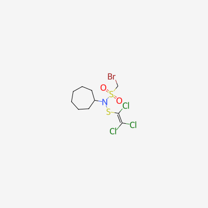 O=S(=O)(CBr)N(SC(Cl)=C(Cl)Cl)C1CCCCCC1